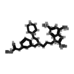 COC(=O)Cc1cccc(CN(CCCn2c(OC)nc3c(N)nc(C)nc32)CCN2CCOCC2)c1